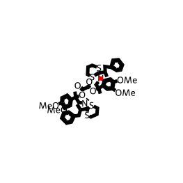 COc1ccc(C(C)(CN(C)C2(C(C)Cc3ccccc3)SCCCS2)OC(=O)C(=O)OC(C)(CN(C)C2(C(C)Cc3ccccc3)SCCCS2)c2ccc(OC)c(OC)c2)cc1OC